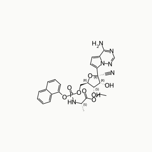 CCOC(=O)[C@H](C)NP(=O)(OC[C@H]1O[C@@](C#N)(c2ccc3c(N)ncnn23)[C@H](O)[C@@H]1O)Oc1cccc2ccccc12